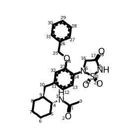 CC(=O)N[C@@H]1CCCC[C@H]1Cc1ccc(N2CC(=O)NS2(=O)=O)c(OCc2ccccc2)c1